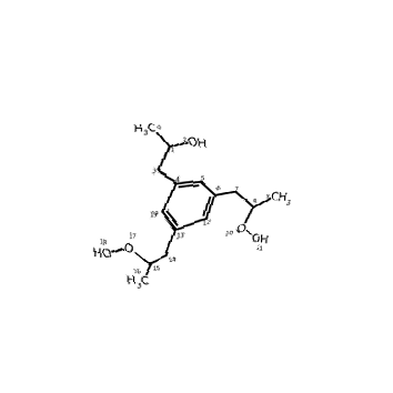 CC(O)Cc1cc(CC(C)OO)cc(CC(C)OO)c1